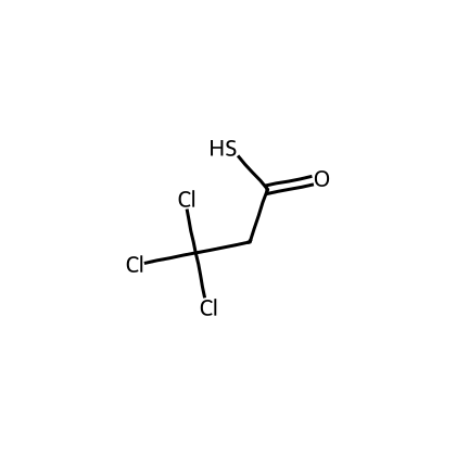 O=C(S)CC(Cl)(Cl)Cl